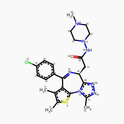 Cc1sc2c(c1C)C(c1ccc(Cl)cc1)=N[C@@H](CC(=O)NN1CCN(C)CC1)c1nnc(C)n1-2